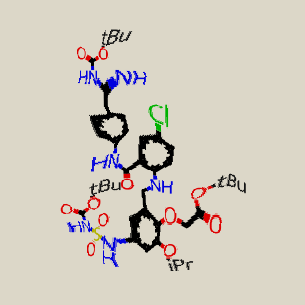 CC(C)Oc1cc(NS(=O)(=O)NC(=O)OC(C)(C)C)cc(CNc2ccc(Cl)cc2C(=O)Nc2ccc(C(=N)NC(=O)OC(C)(C)C)cc2)c1OCC(=O)OC(C)(C)C